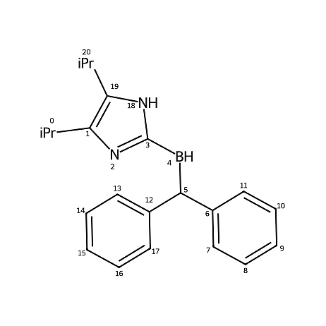 CC(C)c1nc(BC(c2ccccc2)c2ccccc2)[nH]c1C(C)C